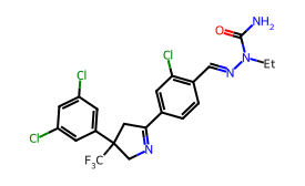 CCN(N=Cc1ccc(C2=NCC(c3cc(Cl)cc(Cl)c3)(C(F)(F)F)C2)cc1Cl)C(N)=O